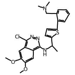 COc1cc2c(Cl)nnc(NC(C)c3ccc(-c4ccccc4CN(C)C)s3)c2cc1OC